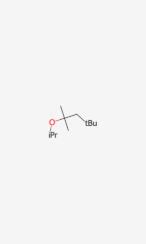 CC(C)OC(C)(C)CC(C)(C)C